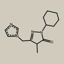 CC1C(=O)N(C2CCCCC2)N=C1Cn1ccnc1